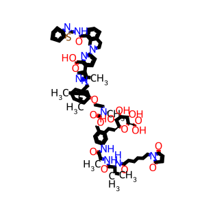 Cc1c(-c2ccc(N3CCc4cccc(C(=O)Nc5nc6ccccc6s5)c4C3)nc2C(=O)O)cnn1CC12CC3(C)CC(C)(C1)CC(OCCN(C)C(=O)OCc1ccc(NC(=O)[C@H](C)NC(=O)[C@@H](NC(=O)CCCCCN4C(=O)C=CC4=O)C(C)C)cc1CC[C@@H]1O[C@H](C(=O)O)[C@@H](O)[C@H](O)[C@H]1O)(C3)C2